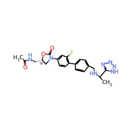 CC(=O)NC[C@H]1CN(c2ccc(-c3ccc(CNC(C)c4nnn[nH]4)cc3)c(F)c2)C(=O)O1